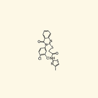 Cc1csc(NC(=O)CSc2nc3ccccc3c(=O)n2-c2ccc(Cl)c(Cl)c2)n1